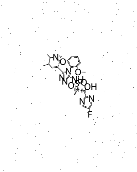 COc1cccc(OC)c1-n1c(NS(=O)(=O)[C@H](C)[C@@H](O)c2ncc(F)cn2)nnc1C1=CC(C)C(C)N=C1